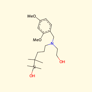 COc1ccc(CN(CCO)CCCC(C)(C)[Si](C)(C)O)c(OC)c1